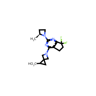 C[C@H]1CCN1c1nc(N2CC3(CC3C(=O)O)C2)c2c(n1)C(F)(F)CC2